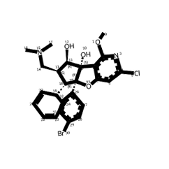 COc1nc(Cl)cc2c1[C@]1(O)[C@H](O)[C@H](CN(C)C)[C@@H](C3C=CC=CC3)[C@]1(c1ccc(Br)cc1)O2